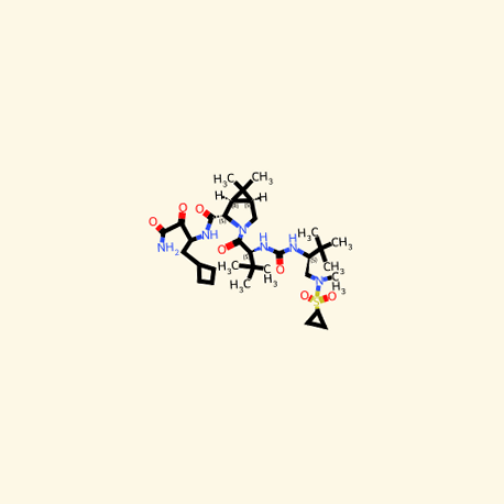 CN(C[C@@H](NC(=O)N[C@H](C(=O)N1C[C@H]2[C@@H]([C@H]1C(=O)NC(CC1CCC1)C(=O)C(N)=O)C2(C)C)C(C)(C)C)C(C)(C)C)S(=O)(=O)C1CC1